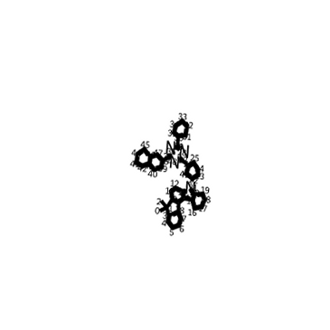 CC1(C)c2ccccc2-c2c1ccc1c2c2ccccc2n1-c1cccc(-c2nc(-c3ccccc3)nc(-c3ccc4ccccc4c3)n2)c1